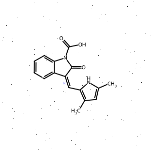 Cc1cc(C)c(/C=C2\C(=O)N(C(=O)O)c3ccccc32)[nH]1